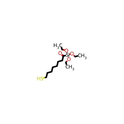 CCO[Si](OCC)(OCC)C(=O)CCCCCCCS